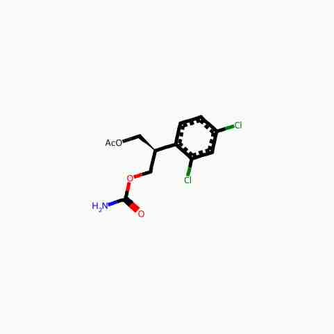 CC(=O)OC[C@H](COC(N)=O)c1ccc(Cl)cc1Cl